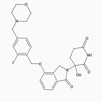 O=C1CCC(O)(N2Cc3c(OCc4ccc(CN5CCOCC5)cc4F)cccc3C2=O)C(=O)N1